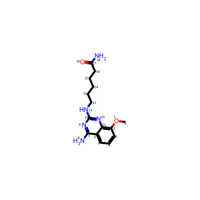 COc1cccc2c(N)nc(NCCCCCC(N)=O)nc12